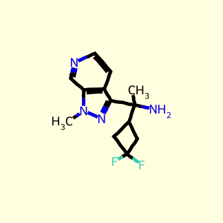 Cn1nc(C(C)(N)C2CC(F)(F)C2)c2ccncc21